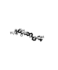 CS(=O)(=O)c1cncc(C(=O)NCc2cc3nc(-c4cccc(N5CCNC6(CC6)C5)n4)ccc3cn2)c1